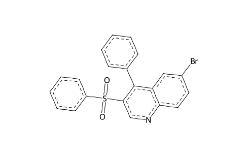 O=S(=O)(c1ccccc1)c1cnc2ccc(Br)cc2c1-c1ccccc1